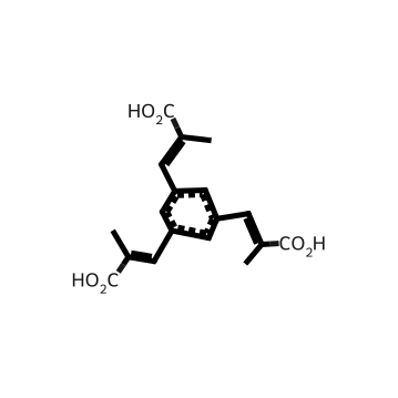 C/C(=C\c1cc(/C=C(\C)C(=O)O)cc(/C=C(\C)C(=O)O)c1)C(=O)O